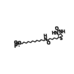 CP(=O)(F)OCCCCCCCCCCCNC(=O)CCCCC1SCC2NC(=O)NC21